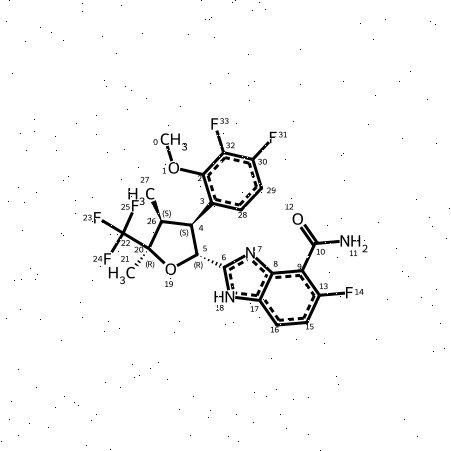 COc1c([C@H]2[C@H](c3nc4c(C(N)=O)c(F)ccc4[nH]3)O[C@@](C)(C(F)(F)F)[C@H]2C)ccc(F)c1F